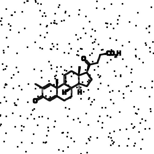 CC1=C[C@@]2(C)C(=CC1=O)CC[C@@H]1C2=CC[C@]2(C)[C@@H](C(=O)CCC(=O)O)CC[C@@H]12